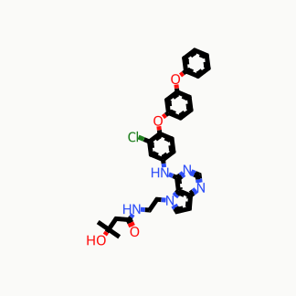 CC(C)(O)CC(=O)NCCn1ccc2ncnc(Nc3ccc(Oc4cccc(Oc5ccccc5)c4)c(Cl)c3)c21